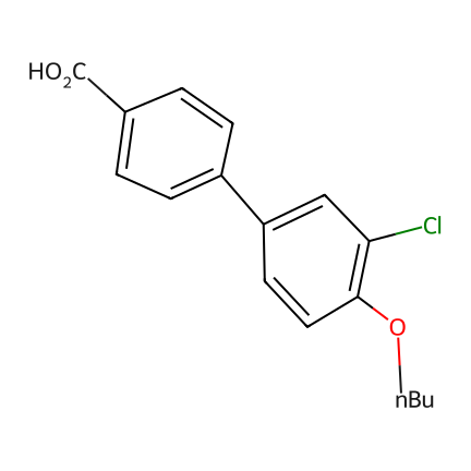 CCCCOc1ccc(-c2ccc(C(=O)O)cc2)cc1Cl